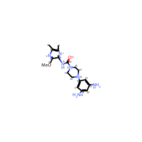 COc1nc(C)c(C)nc1NC(=O)N1CCN(c2cc(N)cc(N)c2)CC1